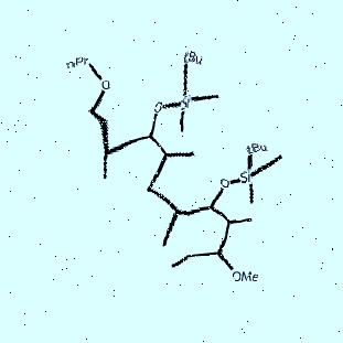 CCCOCC(C)C(O[Si](C)(C)C(C)(C)C)C(C)CC(C)C(O[Si](C)(C)C(C)(C)C)C(C)C(C)OC